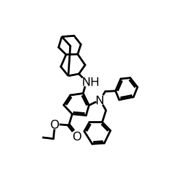 CCOC(=O)c1ccc(NC2CC3CCC4CC3CC2C4)c(N(Cc2ccccc2)Cc2ccccc2)c1